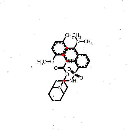 COc1ccc(C)cc1NC(=O)OC1CC2CCCC(C1)N2CNS(=O)(=O)c1cccc2c(N(C)C)cccc12